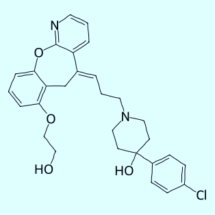 OCCOc1cccc2c1CC(=CCCN1CCC(O)(c3ccc(Cl)cc3)CC1)c1cccnc1O2